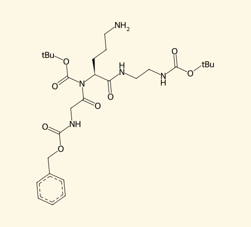 CC(C)(C)OC(=O)NCCNC(=O)[C@H](CCCN)N(C(=O)CNC(=O)OCc1ccccc1)C(=O)OC(C)(C)C